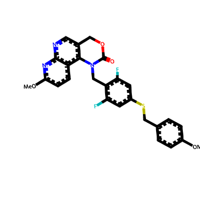 COc1ccc(CSc2cc(F)c(CN3C(=O)OCc4cnc5nc(OC)ccc5c43)c(F)c2)cc1